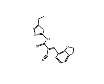 CCc1nnc(NC(=O)/C(C#N)=C/c2cccc3c2OCO3)s1